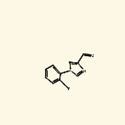 O=Cc1cn(-c2ccccc2F)cn1